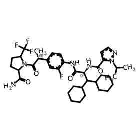 CC(C)n1nccc1C(=O)N[C@H](C(=O)Nc1ccc([C@H](C)C(=O)N2C(C(N)=O)CCC2C(F)(F)F)cc1F)C(C1CCCCC1)C1CCCCC1